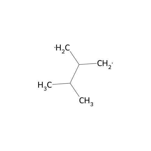 [CH2]C([CH2])C(C)C